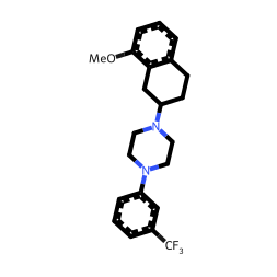 COc1cccc2c1CC(N1CCN(c3cccc(C(F)(F)F)c3)CC1)CC2